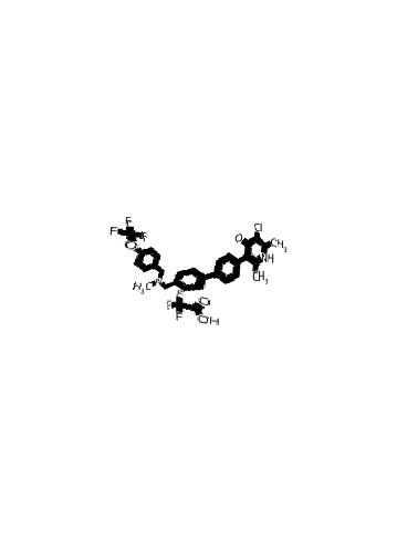 Cc1[nH]c(C)c(-c2ccc(-c3ccc(CN(C)Cc4ccc(OC(F)(F)F)cc4)cc3)cc2)c(=O)c1Cl.O=C(O)C(F)(F)F